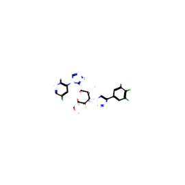 Cc1ncc(Cl)cc1-n1cnnc1[C@@H]1O[C@H](CO)[C@H](O)[C@H](n2cc(-c3cc(F)c(F)c(F)c3)nn2)[C@H]1O